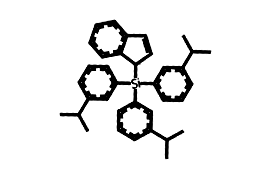 CC(C)c1cccc([Si]([C]2C=Cc3ccccc32)(c2cccc(C(C)C)c2)c2cccc(C(C)C)c2)c1